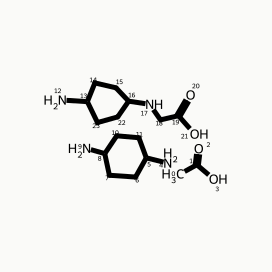 CC(=O)O.NC1CCC(N)CC1.NC1CCC(NCC(=O)O)CC1